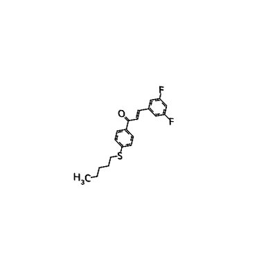 CCCCCSc1ccc(C(=O)C=Cc2cc(F)cc(F)c2)cc1